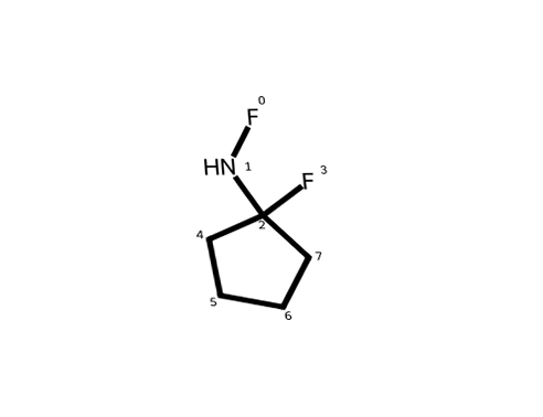 FNC1(F)CCCC1